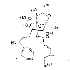 C=CC1O[C@]2(OC(C)=O)O[C@@](C(=O)O)([C@@](CCCC(CC)c3ccccc3)(OC(=O)C=CC(C)CC(C)CC)[C@H]2O)[C@]1(O)C(=O)O